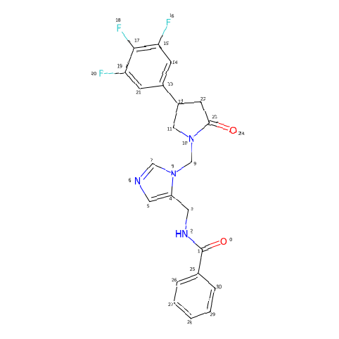 O=C(NCc1cncn1CN1CC(c2cc(F)c(F)c(F)c2)CC1=O)c1ccccc1